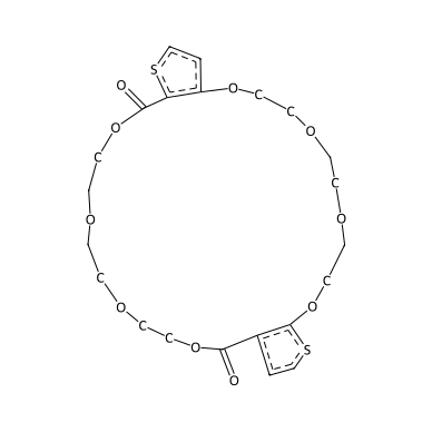 O=C1OCCOCCOCCOC(=O)c2sccc2OCCOCCOCCOc2sccc21